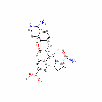 COC(=O)c1ccc(C(C(=O)N2CCC[C@H]2C(N)=O)N(Cc2ccc3c(N)nccc3c2)C(C)=O)cc1